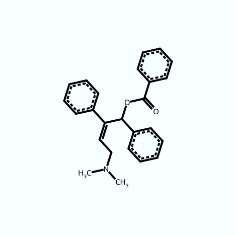 CN(C)CC=C(c1ccccc1)C(OC(=O)c1ccccc1)c1ccccc1